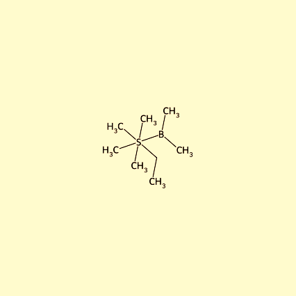 CCS(C)(C)(C)(C)B(C)C